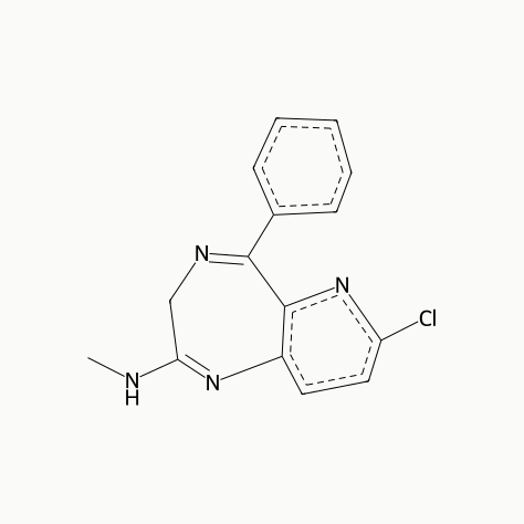 CNC1=Nc2ccc(Cl)nc2C(c2ccccc2)=NC1